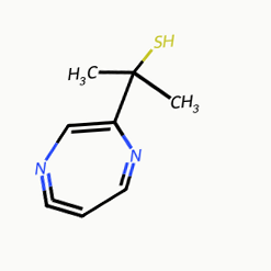 CC(C)(S)C1=CN=C=CC=N1